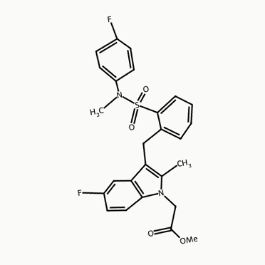 COC(=O)Cn1c(C)c(Cc2ccccc2S(=O)(=O)N(C)c2ccc(F)cc2)c2cc(F)ccc21